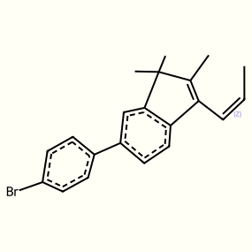 C/C=C\C1=C(C)C(C)(C)c2cc(-c3ccc(Br)cc3)ccc21